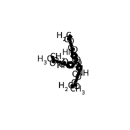 C=CC(=O)OCCOC(=O)Nc1ccc(OP(=S)(Oc2ccc(NC(=O)OCCOC(=O)C(=C)C)cc2)Oc2ccc(NC(=O)OCCOC(=O)C(=C)C)cc2)cc1